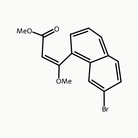 COC(=O)/C=C(/OC)c1cccc2ccc(Br)cc12